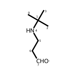 CC(C)(C)NCC[C]=O